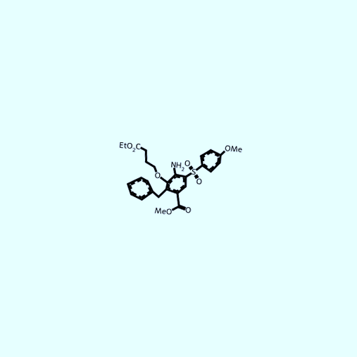 CCOC(=O)CCCOc1c(N)c(S(=O)(=O)c2ccc(OC)cc2)cc(C(=O)OC)c1Cc1ccccc1